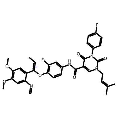 C=Nc1cc(OC)c(OC)cc1/C(=C\C)Oc1ccc(NC(=O)c2cn(CC=C(C)C)c(=O)n(-c3ccc(F)cc3)c2=O)cc1F